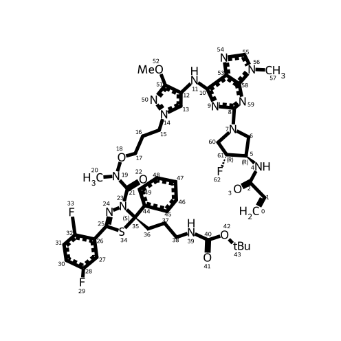 C=CC(=O)N[C@@H]1CN(c2nc(Nc3cn(CCCON(C)C(=O)N4N=C(c5cc(F)ccc5F)S[C@@]4(CCCNC(=O)OC(C)(C)C)c4ccccc4)nc3OC)c3ncn(C)c3n2)C[C@H]1F